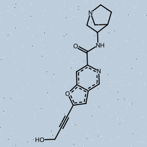 O=C(NC1CN2CCC1C2)c1cc2oc(C#CCO)cc2cn1